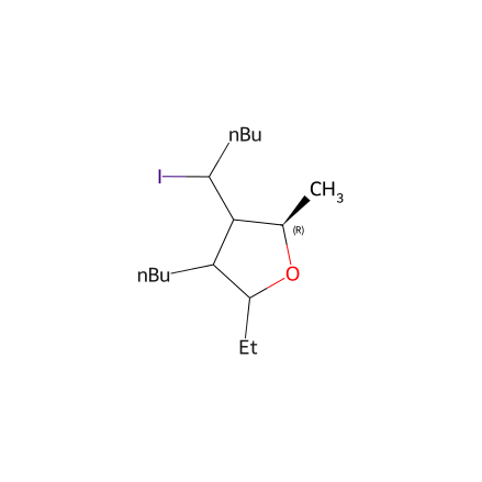 CCCCC(I)C1C(CCCC)C(CC)O[C@@H]1C